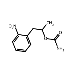 CC(Cc1ccccc1[N+](=O)[O-])OC(N)=O